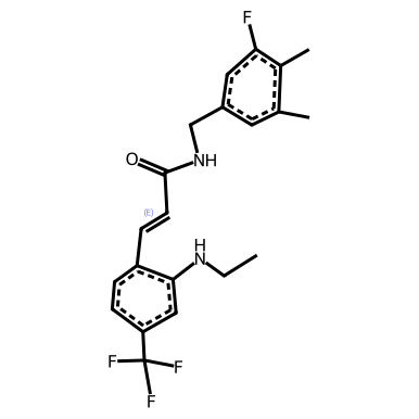 CCNc1cc(C(F)(F)F)ccc1/C=C/C(=O)NCc1cc(C)c(C)c(F)c1